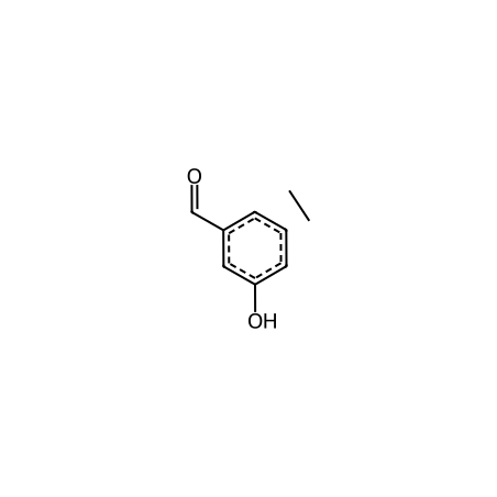 CC.O=Cc1cccc(O)c1